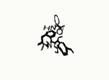 CCc1ccc2sc(C3=NN=C(C)Cc4cc5c(cc43)O[C@H](C)C(=O)N5)c(CC)c2c1